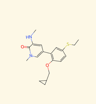 CCSc1ccc(OCC2CC2)c(-c2cc(NC)c(=O)n(C)c2)c1